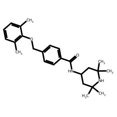 Cc1cccc(C)c1OCc1ccc(C(=O)NC2CC(C)(C)NC(C)(C)C2)cc1